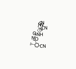 N#Cc1ccc(C2CC2)c(-c2cnc(C(=O)N[C@@H]3C[C@@H](Cn4ccnn4)N(C#N)C3)o2)c1